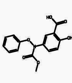 COC(=O)N(Oc1ccccc1)c1ccc(O)c(C(=O)O)c1